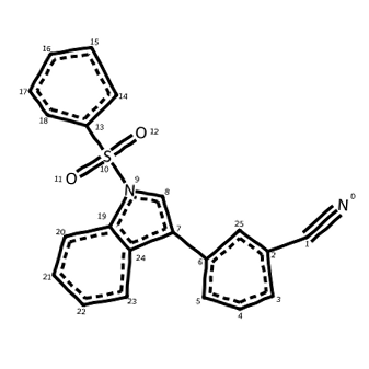 N#Cc1cccc(-c2cn(S(=O)(=O)c3ccccc3)c3ccccc23)c1